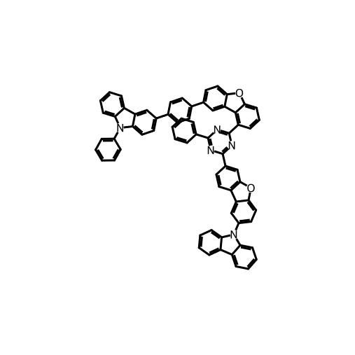 c1ccc(-c2nc(-c3ccc4c(c3)oc3ccc(-n5c6ccccc6c6ccccc65)cc34)nc(-c3cccc4oc5ccc(-c6ccc(-c7ccc8c(c7)c7ccccc7n8-c7ccccc7)cc6)cc5c34)n2)cc1